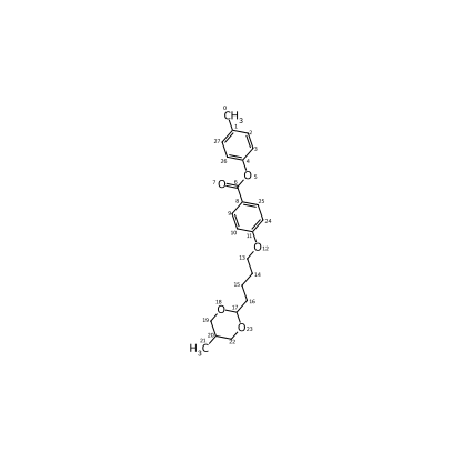 Cc1ccc(OC(=O)c2ccc(OCCCCC3OCC(C)CO3)cc2)cc1